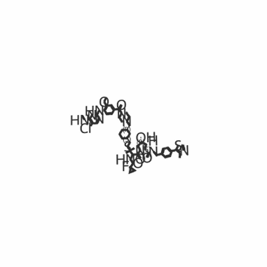 CNc1nc(Nc2ccc(C(=O)N3CCN(C[C@@H]4CCC[C@H](CSC(C)(C)C(NC(=O)C5(F)CC5)C(=O)N5C[C@H](O)C[C@H]5C(=O)NCc5ccc(-c6scnc6C)cc5)C4)CC3)cc2OC)ncc1Cl